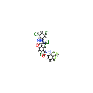 NC(=O)C1(c2ccc(Cl)c(NC(=O)c3ccc(F)c(C(F)(F)F)c3)c2)C(c2cc(Cl)cc(Cl)c2)C1(Cl)Cl